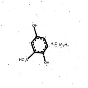 O.O=S(=O)(O)c1cc(O)ccc1O.[MgH2]